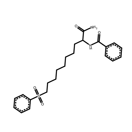 NC(=O)C(CCCCCCCCS(=O)(=O)c1ccccc1)NC(=O)c1ccccc1